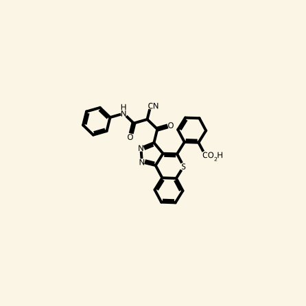 N#CC(C(=O)Nc1ccccc1)C(=O)c1nnc2c3ccccc3sc(C3=C(C(=O)O)CCC=C3)c1-2